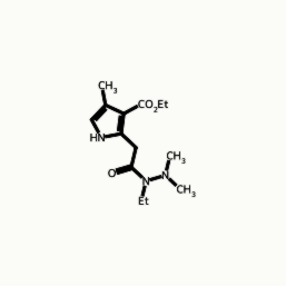 CCOC(=O)c1c(C)c[nH]c1CC(=O)N(CC)N(C)C